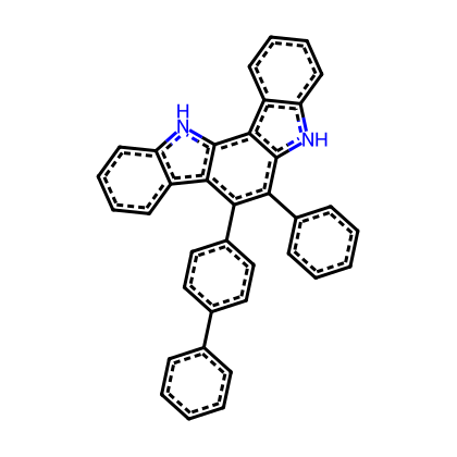 c1ccc(-c2ccc(-c3c(-c4ccccc4)c4[nH]c5ccccc5c4c4[nH]c5ccccc5c34)cc2)cc1